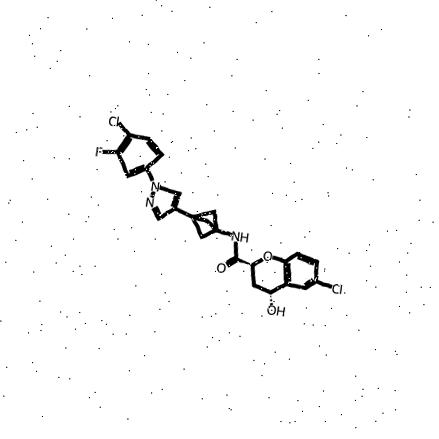 O=C(NC12CC(c3cnn(-c4ccc(Cl)c(F)c4)c3)(C1)C2)[C@@H]1C[C@@H](O)c2cc(Cl)ccc2O1